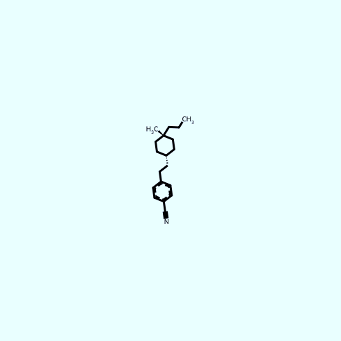 CCC[C@]1(C)CC[C@H](CCc2ccc(C#N)cc2)CC1